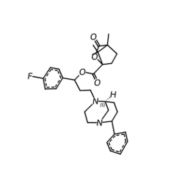 CC12CCC(C(=O)OC(CCN3CCN4C[C@@H]3CCC4c3ccccc3)c3ccc(F)cc3)(OC1=O)C2(C)C